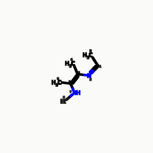 C/C=N\C(C)=C(\C)NCC